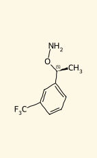 C[C@H](ON)c1cccc(C(F)(F)F)c1